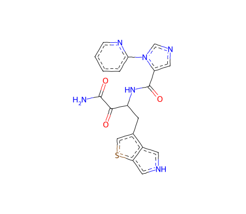 NC(=O)C(=O)C(Cc1csc2c[nH]cc12)NC(=O)c1cncn1-c1ccccn1